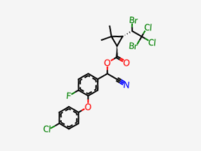 CC1(C)[C@H](C(=O)OC(C#N)c2ccc(F)c(Oc3ccc(Cl)cc3)c2)[C@H]1C(Br)C(Cl)(Cl)Br